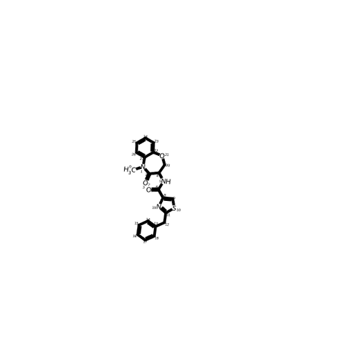 CN1C(=O)C(NC(=O)c2csc(Cc3ccccc3)n2)COc2ccccc21